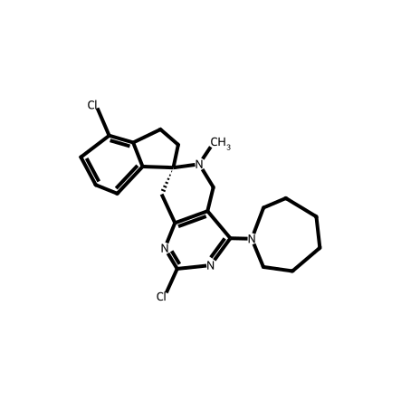 CN1Cc2c(nc(Cl)nc2N2CCCCCC2)C[C@]12CCc1c(Cl)cccc12